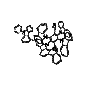 N#Cc1c(-n2c3ccccc3c3ccccc32)c(-n2c3ccccc3c3ccccc32)c(C#N)c(-n2c3ccc(-c4cccc5c4c4ccccc4n5-c4ccccc4)cc3c3ccc4c5ccccc5oc4c32)c1-n1c2ccccc2c2ccccc21